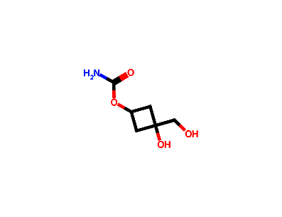 NC(=O)OC1CC(O)(CO)C1